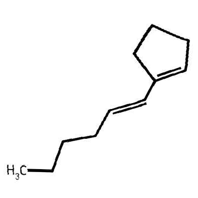 CCCCC=CC1=CCCC1